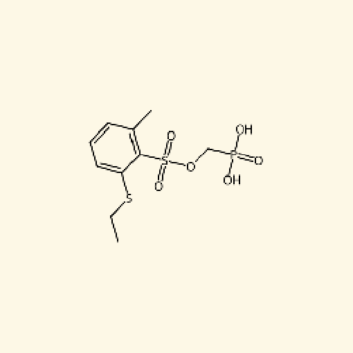 CCSc1cccc(C)c1S(=O)(=O)OCP(=O)(O)O